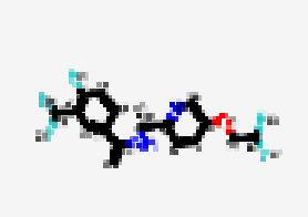 C=C(N[C@H](C)c1ccc(OCC(F)F)cn1)c1ccc(F)c(C(F)F)c1